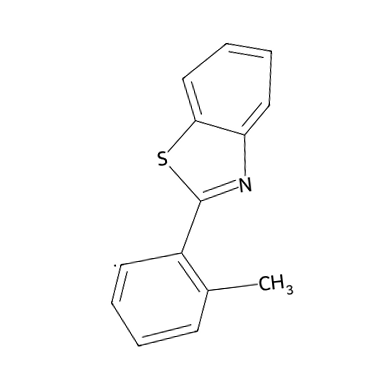 Cc1ccc[c]c1-c1nc2ccccc2s1